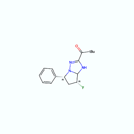 CC(C)(C)C(=O)C1=NN2C(N1)[C@H](F)C[C@@H]2c1ccccc1